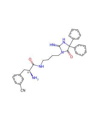 N#Cc1cccc(C[C@H](N)C(=O)NCCCCN2C(=N)NC(c3ccccc3)(c3ccccc3)C2=O)c1